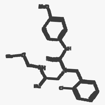 CCC(C)C(CN(Cc1ccccc1Cl)C(=S)Nc1ccc(OC)cc1)NCOC(C)(C)C